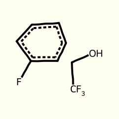 Fc1ccccc1.OCC(F)(F)F